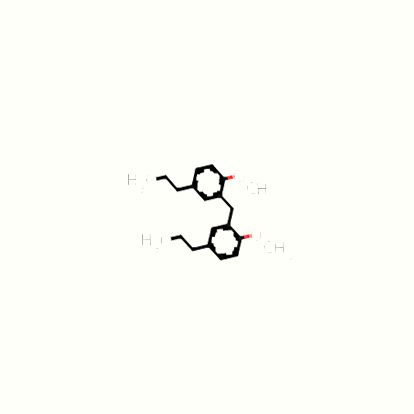 CCCc1ccc(OC)c(Cc2cc(CCC)ccc2OC)c1